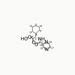 O=C(N[C@H](C(=O)OO)C1CCCCC1)c1cnccn1